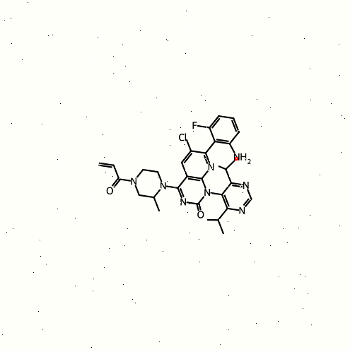 C=CC(=O)N1CCN(c2nc(=O)n(-c3c(C(C)C)ncnc3C(C)C)c3nc(-c4c(N)cccc4F)c(Cl)cc23)C(C)C1